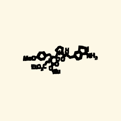 CCOC(=O)CN(C(=O)OC(C)(C)C)[C@H](Cc1ccc(OC)cc1)C(=O)N1CCC[C@H]1C(=O)NCc1ccc2c(N)nccc2c1